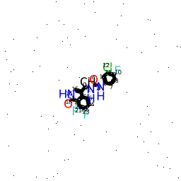 C[C@H](NC(=O)Nc1ccc(F)c(Cl)c1)c1c[nH]c(=O)c2c(F)c(F)ccc12